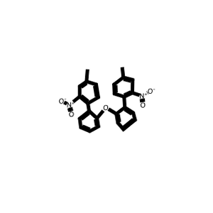 Cc1ccc(-c2ccccc2Oc2ccccc2-c2ccc(C)cc2[N+](=O)[O-])c([N+](=O)[O-])c1